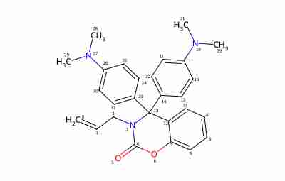 C=CCN1C(=O)Oc2ccccc2C1(c1ccc(N(C)C)cc1)c1ccc(N(C)C)cc1